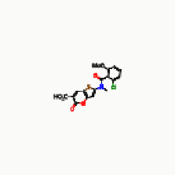 COc1cccc(Cl)c1C(=O)N(C)c1cc2oc(=O)c(C(=O)O)cc2s1